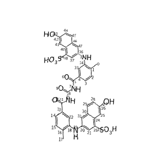 Cc1ccc(C(=O)NC(=O)NC(=O)c2ccc(C)c(Nc3cc(S(=O)(=O)O)c4cc(O)ccc4c3)c2)cc1Nc1cc(S(=O)(=O)O)c2cc(O)ccc2c1